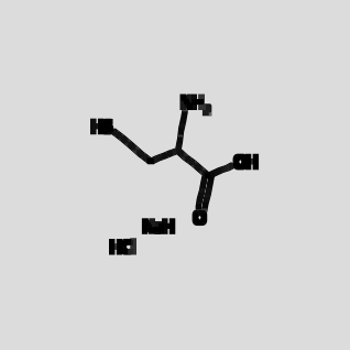 Cl.NC(CS)C(=O)O.[NaH]